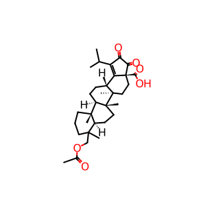 CC(=O)OCC1(C)CCC[C@]2(C)[C@H]3CC[C@@H]4C5=C(C(C)C)C(=O)C(=O)[C@]5(C(=O)O)CC[C@@]4(C)[C@]3(C)CC[C@@H]12